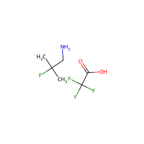 CC(C)(F)CN.O=C(O)C(F)(F)F